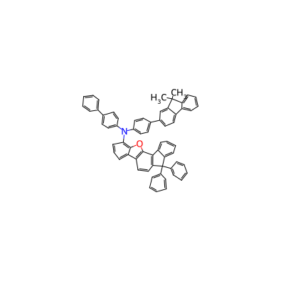 CC1(C)c2ccccc2-c2ccc(-c3ccc(N(c4ccc(-c5ccccc5)cc4)c4cccc5c4oc4c6c(ccc45)C(c4ccccc4)(c4ccccc4)c4ccccc4-6)cc3)cc21